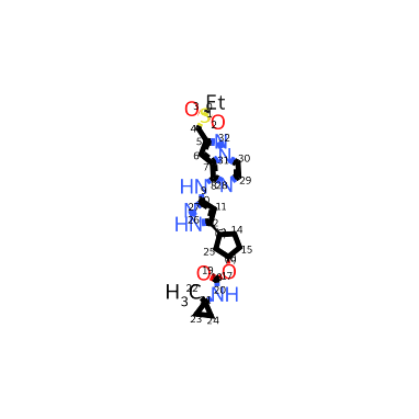 CCS(=O)(=O)Cc1cc2c(Nc3cc([C@H]4CC[C@@H](OC(=O)NC5(C)CC5)C4)[nH]n3)nccn2n1